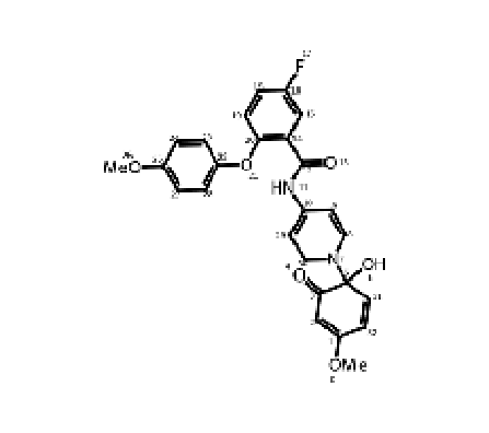 COC1=CC(=O)C(O)(N2C=CC(NC(=O)c3cc(F)ccc3Oc3ccc(OC)cc3)=CC2)C=C1